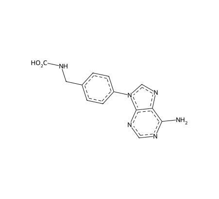 Nc1ncnc2c1ncn2-c1ccc(CNC(=O)O)cc1